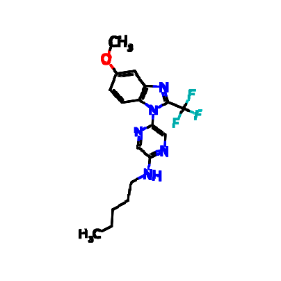 CCCCCNc1cnc(-n2c(C(F)(F)F)nc3cc(OC)ccc32)cn1